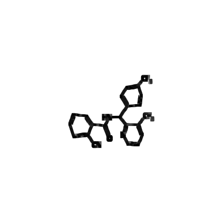 N#Cc1ccccc1C(=O)NC(c1ccc(C(F)(F)F)cc1)c1ncccc1C(F)(F)F